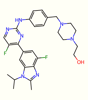 Cc1nc2c(F)cc(-c3nc(Nc4ccc(CN5CCN(CCO)CC5)cc4)ncc3F)cc2n1C(C)C